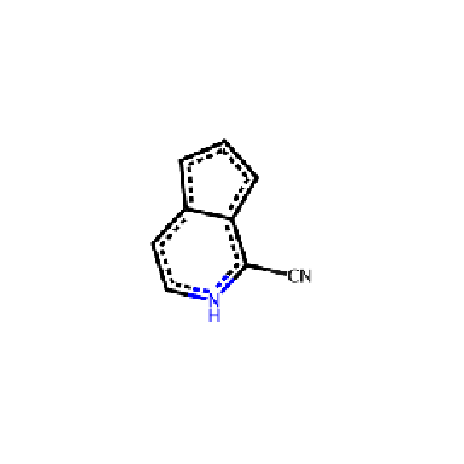 N#Cc1[nH]ccc2cccc1-2